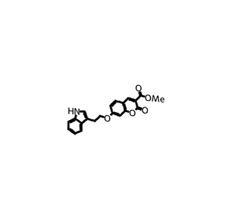 COC(=O)c1cc2ccc(OCCc3c[nH]c4ccccc34)cc2oc1=O